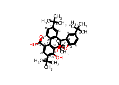 CC(C)(C)c1ccc2c(c1)C(c1cc(C(C)(C)C)ccc1-c1c(C(=O)O)cc(C(C)(C)C)c(O)c1C(C)(C)C)C(=O)O2